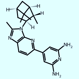 Cc1nc2ccc(-c3cc(N)nc(N)c3)nc2n1[C@H]1C[C@H]2C[C@@H]([C@@H]1C)C2(C)C